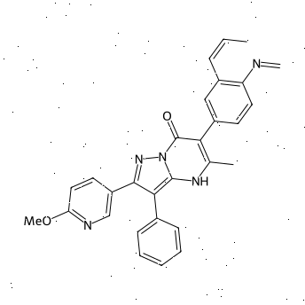 C=Nc1ccc(-c2c(C)[nH]c3c(-c4ccccc4)c(-c4ccc(OC)nc4)nn3c2=O)cc1/C=C\C